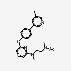 CC(=O)N(C)CCN(C)c1cncc(Oc2ccc(-c3cncc(C)c3)cc2)n1